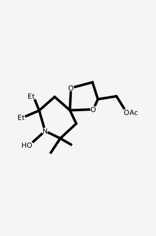 CCC1(CC)CC2(CC(C)(C)N1O)OCC(COC(C)=O)O2